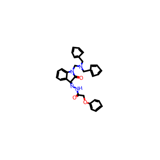 O=C(COc1ccccc1)N/N=C1\C(=O)N(CN(Cc2ccccc2)Cc2ccccc2)c2ccccc21